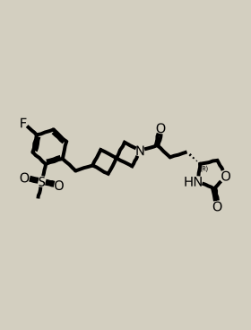 CS(=O)(=O)c1cc(F)ccc1CC1CC2(C1)CN(C(=O)CC[C@@H]1COC(=O)N1)C2